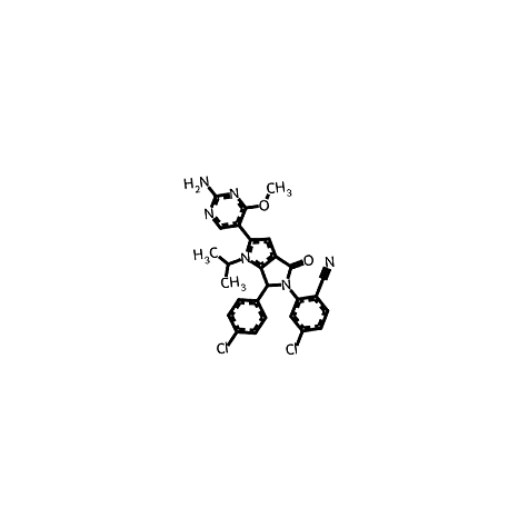 COc1nc(N)ncc1-c1cc2c(n1C(C)C)C(c1ccc(Cl)cc1)N(c1cc(Cl)ccc1C#N)C2=O